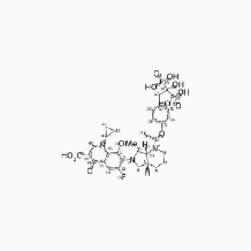 COc1c(N2C[C@H]3CCCN(C(=S)Oc4ccc(CC(O)(P(=O)(O)O)P(=O)(O)O)cc4)[C@H]3C2)c(F)cc2c(=O)c(C(=O)O)cn(C3CC3)c12